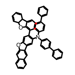 C1=CC2Oc3c(-c4cc5oc6cc7ccccc7cc6c5cc4N(c4ccc(-c5ccccc5)cc4)c4ccc(-c5ccccc5)cc4)cccc3C2C=C1